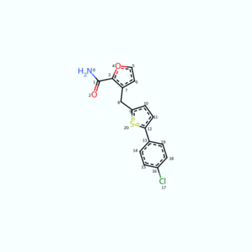 NC(=O)c1occc1Cc1ccc(-c2ccc(Cl)cc2)s1